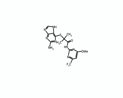 COc1cc(C(F)(F)F)nc(NC(=O)C(C)(C)Sc2nc(N)nc3nc[nH]c23)n1